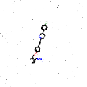 CC(COc1ccc(C#Cc2ccc(-c3ccc(Cl)cc3)cn2)cc1)C1(CN)CC1